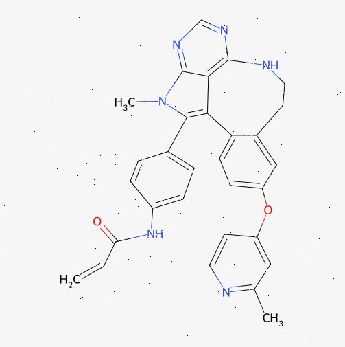 C=CC(=O)Nc1ccc(-c2c3c4c(ncnc4n2C)NCCc2cc(Oc4ccnc(C)c4)ccc2-3)cc1